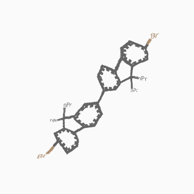 CCCC1(CCC)c2cc(Br)ccc2-c2ccc(-c3ccc4c(c3)C(CCC)(CCC)c3cc(Br)ccc3-4)cc21